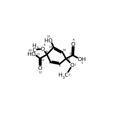 COC1(C(=O)O)C=CC(OC)(C(=O)O)C(O)=C1